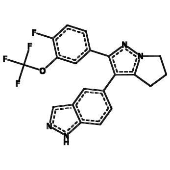 Fc1ccc(-c2nn3c(c2-c2ccc4[nH]ncc4c2)CCC3)cc1OC(F)(F)F